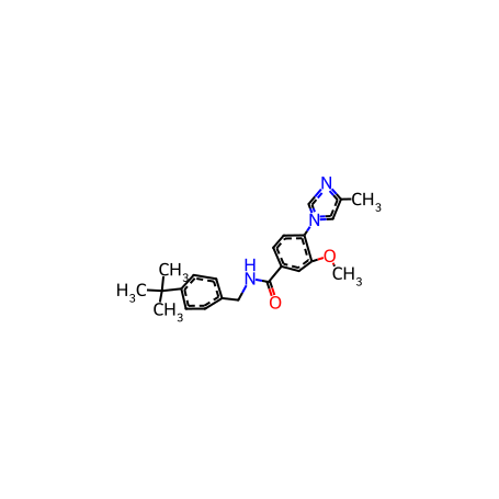 COc1cc(C(=O)NCc2ccc(C(C)(C)C)cc2)ccc1-n1cnc(C)c1